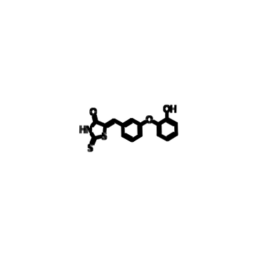 O=C1NC(=S)S/C1=C\c1cccc(Oc2ccccc2O)c1